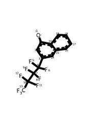 [O]c1cc(C(F)(F)C(F)(F)C(F)(F)C(F)(F)F)cc2ccccc12